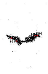 C=CCOC(=O)Nc1ccc2c(c1)CN1C(=O)c3cc(OC)c(OCCCCCOc4cc5c(cc4OC)C(=O)N4Cc6cc(NC(O)OCC=C)ccc6C[C@H]4C=N5)cc3N=C[C@@H]1C2